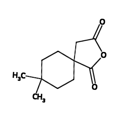 CC1(C)CCC2(CC1)CC(=O)OC2=O